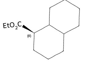 CCOC(=O)[C@@H]1CCCC2CCCCC21